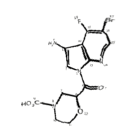 Nc1cn(C(=O)C2CN(C(=O)O)CCO2)c2ncc(Br)c(F)c12